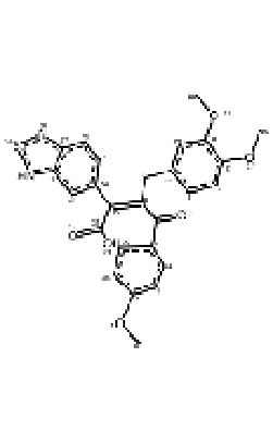 COc1ccc(C(=O)C(Cc2ccc(OC)c(OC)c2)=C(C(=O)O)c2ccc3nsnc3c2)cc1